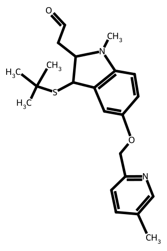 Cc1ccc(COc2ccc3c(c2)C(SC(C)(C)C)C(CC=O)N3C)nc1